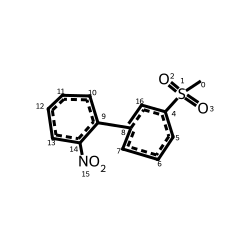 CS(=O)(=O)c1cccc(-c2ccccc2[N+](=O)[O-])c1